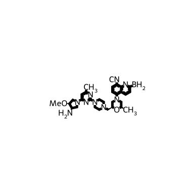 Bc1ccc2c(N3C[C@H](CN4CCN(c5nc(C)cc(N6C[C@@H](N)[C@H](OC)C6)n5)CC4)O[C@H](C)C3)ccc(C#N)c2n1